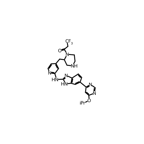 CC(C)Oc1cc(-c2ccc3nc(Nc4cc(CC5CNCCN5C(=O)CC(F)(F)F)ccn4)[nH]c3c2)ncn1